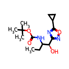 CCC(NC(=O)OC(C)(C)C)[C@H](O)c1noc(C2CC2)n1